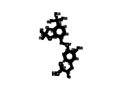 CC(Cc1ccc(OCc2ccc(C(F)(F)F)c3c2OC(C)(C)C3)c(F)c1)C(=O)O